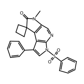 CN1C(=O)C2(CCC2)c2c1cnc1c2c(-c2ccccc2)cn1S(=O)(=O)c1ccccc1